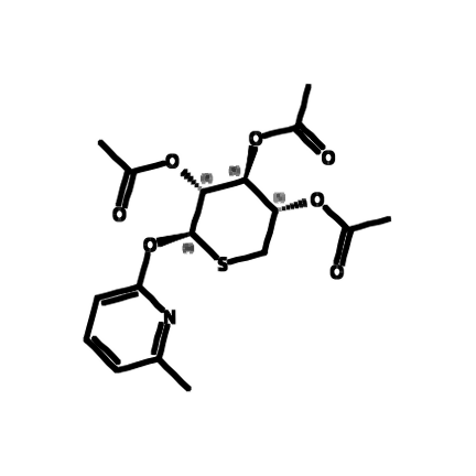 CC(=O)O[C@@H]1[C@@H](OC(C)=O)[C@H](OC(C)=O)CS[C@H]1Oc1cccc(C)n1